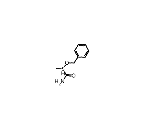 C[SH](OCc1ccccc1)C(N)=O